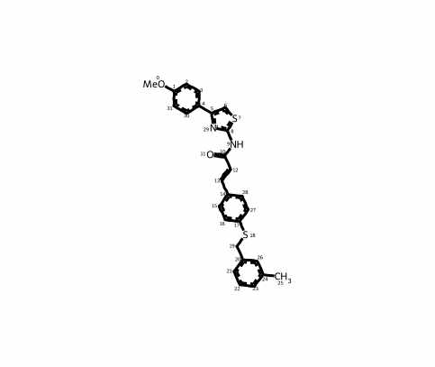 COc1ccc(-c2csc(NC(=O)/C=C/c3ccc(SCc4cccc(C)c4)cc3)n2)cc1